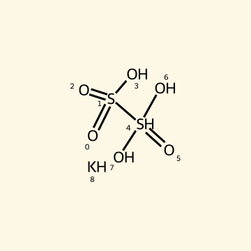 O=S(=O)(O)[SH](=O)(O)O.[KH]